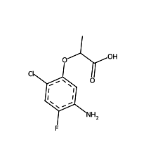 CC(Oc1cc(N)c(F)cc1Cl)C(=O)O